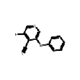 N#Cc1c(F)cncc1Oc1ccccc1